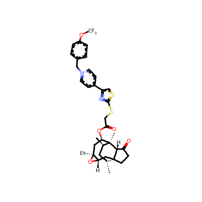 CC[C@]12C[C@@H](OC(=O)CSc3nc(-c4cc[n+](Cc5ccc(OC(F)(F)F)cc5)cc4)cs3)[C@]3(C)[C@H](C)CC[C@]4(CCC(=O)[C@H]43)[C@@H](C)[C@@H]1O2